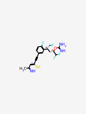 CC(=N)/C=C(\S)C#Cc1ccc(F)c([C@H](CF)C[C@H](OC(=N)N)C(F)F)c1